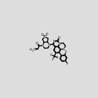 C=CC(=O)N1CCN(c2nc(=O)n3c4c(c(-c5ccc(F)cc5F)c(C(F)(F)F)cc24)SCC3)C2CS(=O)(=O)CC21